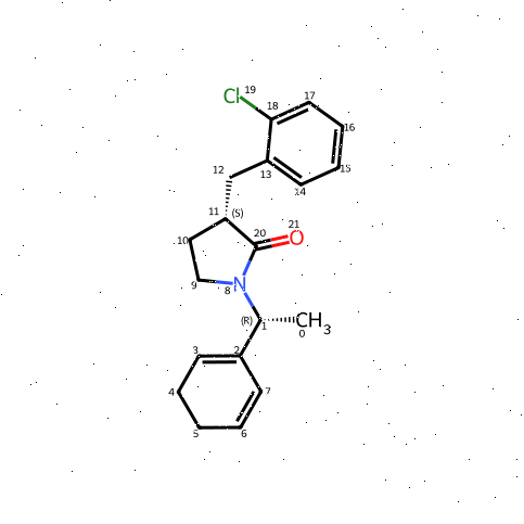 C[C@H](C1=CCCC=C1)N1CC[C@H](Cc2ccccc2Cl)C1=O